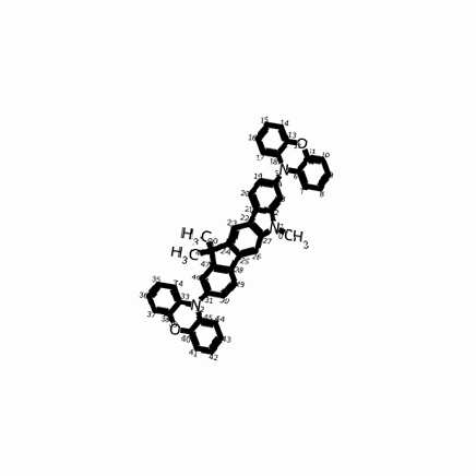 Cn1c2cc(N3c4ccccc4Oc4ccccc43)ccc2c2cc3c(cc21)-c1ccc(N2c4ccccc4Oc4ccccc42)cc1C3(C)C